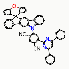 N#Cc1cc(C#N)c(-n2c3ccccc3c3cc4c(cc32)-c2ccccc2C42c3ccccc3Oc3ccccc32)cc1-c1nc(-c2ccccc2)cc(-c2ccccc2)n1